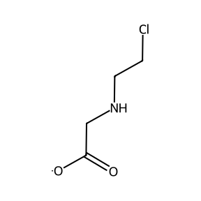 [O]C(=O)CNCCCl